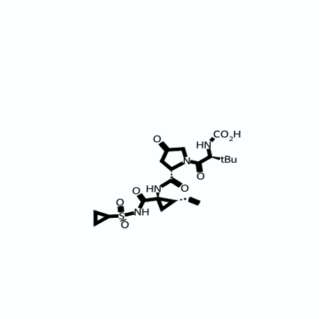 C=C[C@@H]1C[C@]1(NC(=O)[C@@H]1CC(=O)CN1C(=O)[C@@H](NC(=O)O)C(C)(C)C)C(=O)NS(=O)(=O)C1CC1